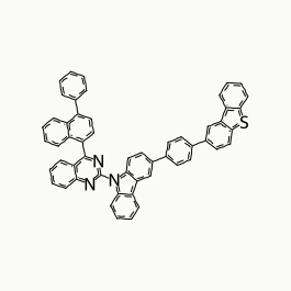 c1ccc(-c2ccc(-c3nc(-n4c5ccccc5c5cc(-c6ccc(-c7ccc8sc9ccccc9c8c7)cc6)ccc54)nc4ccccc34)c3ccccc23)cc1